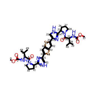 COC(=O)NC(C(=O)N1CCCC1c1nc(-c2cc3sc(-c4c[nH]c(C5CCCN5C(=O)C(NC(=O)OC)C(C)C)n4)cc3s2)c[nH]1)C(C)C